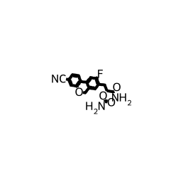 N#Cc1ccc2c(c1)OCc1cc(CC(OC(N)=O)C(N)=O)c(F)cc1-2